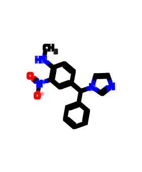 CNc1ccc(C(c2ccccc2)n2ccnc2)cc1[N+](=O)[O-]